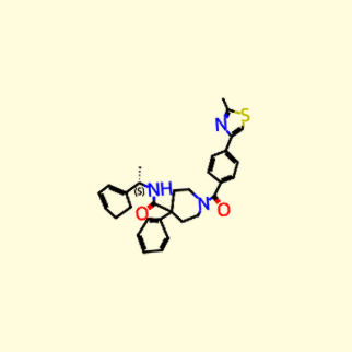 Cc1nc(-c2ccc(C(=O)N3CCC(C(=O)N[C@@H](C)C4=CC=CCC4)(c4ccccc4)CC3)cc2)cs1